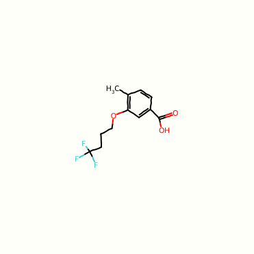 Cc1ccc(C(=O)O)cc1OCCCC(F)(F)F